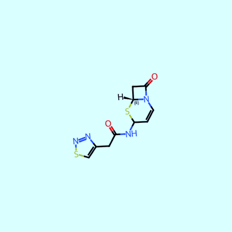 O=C(Cc1csnn1)NC1C=CN2C(=O)C[C@H]2S1